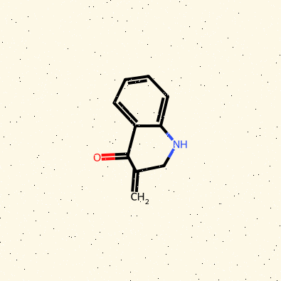 C=C1CNc2ccccc2C1=O